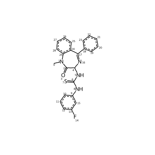 CN1C(=O)C(NC(=S)Nc2cccc(F)c2)N=C(c2ccccc2)c2ccccc21